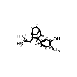 CN(C)CC1C2CCC(C2)CC1(O)c1ccc(C(F)(F)F)c(O)c1